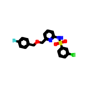 O=S(=O)(Nc1cccc(COCc2ccc(F)cc2)n1)c1cccc(Cl)c1